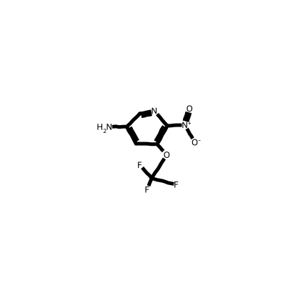 Nc1cnc([N+](=O)[O-])c(OC(F)(F)F)c1